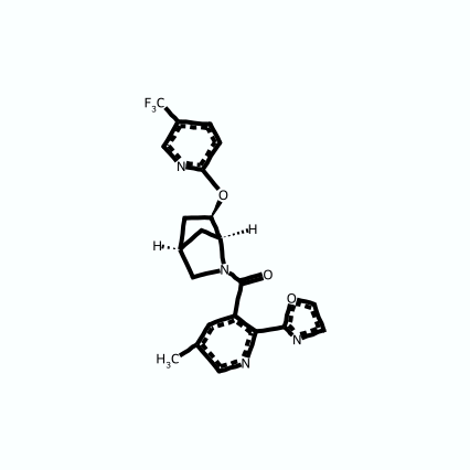 Cc1cnc(-c2ncco2)c(C(=O)N2C[C@H]3C[C@@H](Oc4ccc(C(F)(F)F)cn4)[C@@H]2C3)c1